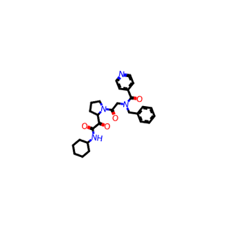 O=C(NC1CCCCC1)C(=O)C1CCCN1C(=O)CN(Cc1ccccc1)C(=O)c1ccncc1